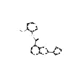 CCSc1ccncc1NC(=O)c1ccnc2[nH]c(-c3ccsc3)nc12